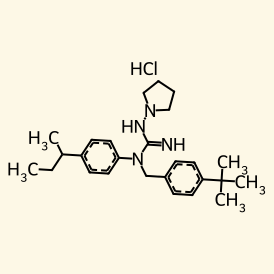 CCC(C)c1ccc(N(Cc2ccc(C(C)(C)C)cc2)C(=N)NN2CCCC2)cc1.Cl